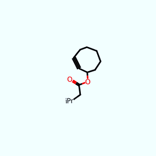 CC(C)CC(=O)OC1C#CCCCCC1